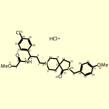 COCC(=O)NC(CCN1CCC2(CC1)CCN(Cc1ccc(OC)cc1)C2=O)c1ccc(Cl)cc1.Cl